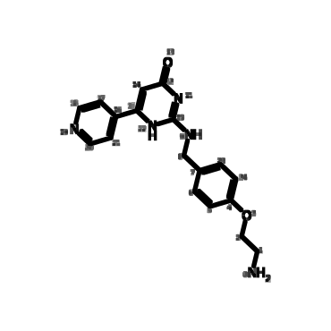 NCCOc1ccc(CNc2nc(=O)cc(-c3ccncc3)[nH]2)cc1